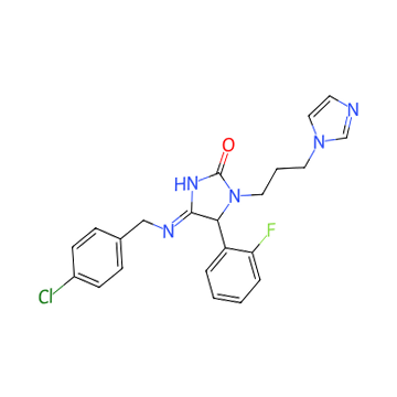 O=C1NC(=NCc2ccc(Cl)cc2)C(c2ccccc2F)N1CCCn1ccnc1